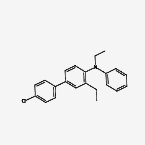 CCc1cc(-c2ccc(Cl)cc2)ccc1N(CC)c1ccccc1